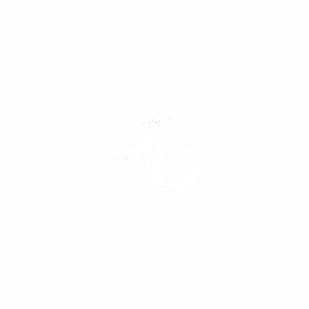 C1=CCCCC1.CCCCCCO